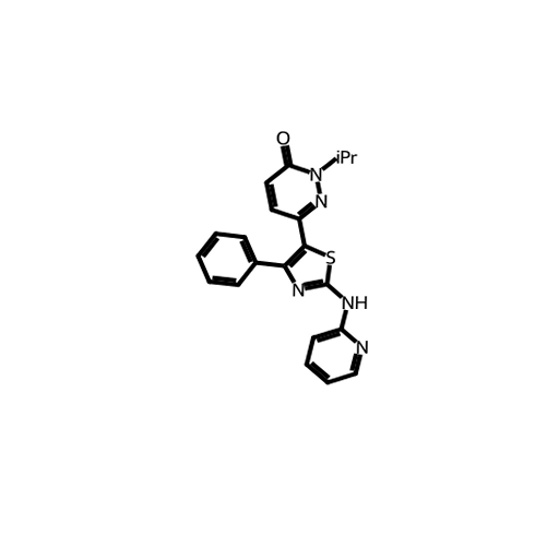 CC(C)n1nc(-c2sc(Nc3ccccn3)nc2-c2ccccc2)ccc1=O